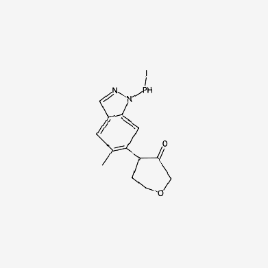 Cc1cc2cnn(PI)c2cc1C1CCOCC1=O